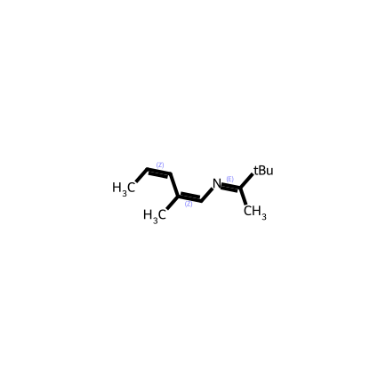 C\C=C/C(C)=C\N=C(/C)C(C)(C)C